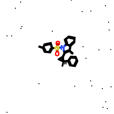 Cc1ccc(S(=O)(=O)n2c(C3C[C@@]3(C)c3ccccc3)c(C)c3ccccc32)cc1